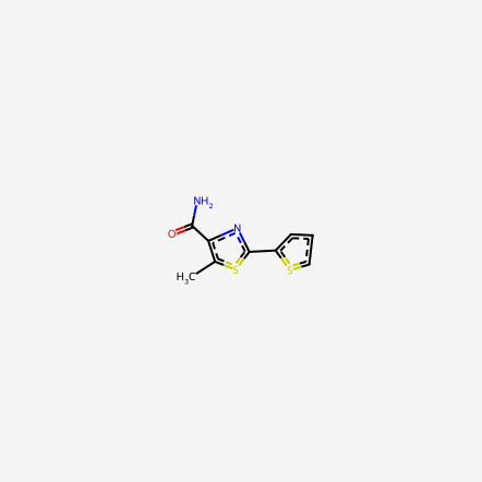 Cc1sc(-c2cccs2)nc1C(N)=O